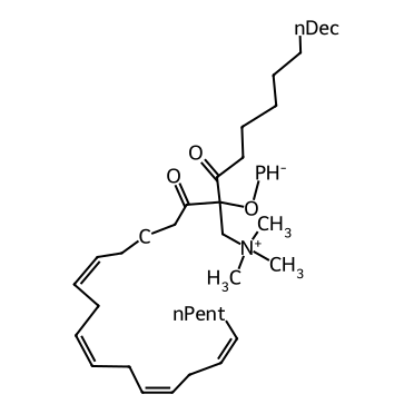 CCCCC/C=C\C/C=C\C/C=C\C/C=C\CCCC(=O)C(C[N+](C)(C)C)(O[PH-])C(=O)CCCCCCCCCCCCCCC